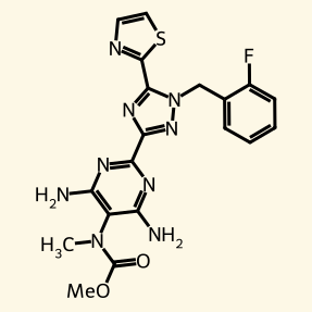 COC(=O)N(C)c1c(N)nc(-c2nc(-c3nccs3)n(Cc3ccccc3F)n2)nc1N